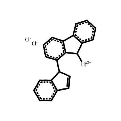 [Cl-].[Cl-].[Hf+2][CH]1c2ccccc2-c2cccc(C3C=Cc4ccccc43)c21